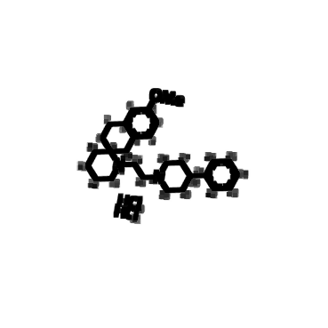 COc1ccc2c(c1)CCC1(CCCCN1CCN1CCC(c3ccccc3)CC1)C2.Cl.Cl